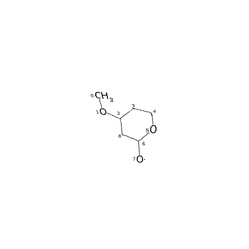 COC1CCOC([O])C1